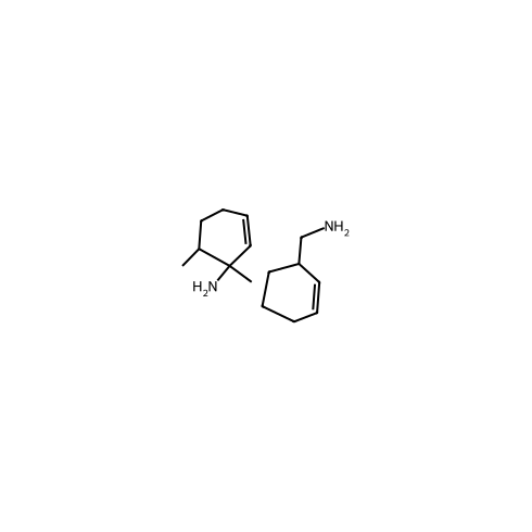 CC1CCC=CC1(C)N.NCC1C=CCCC1